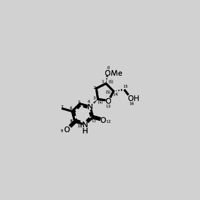 CO[C@H]1C[C@@H](n2cc(C)c(=O)[nH]c2=O)O[C@H]1CO